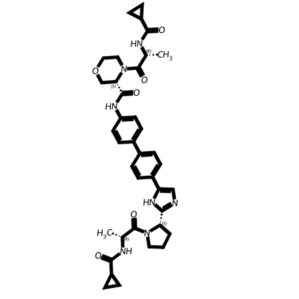 C[C@@H](NC(=O)C1CC1)C(=O)N1CCOC[C@H]1C(=O)Nc1ccc(-c2ccc(-c3cnc([C@@H]4CCCN4C(=O)[C@@H](C)NC(=O)C4CC4)[nH]3)cc2)cc1